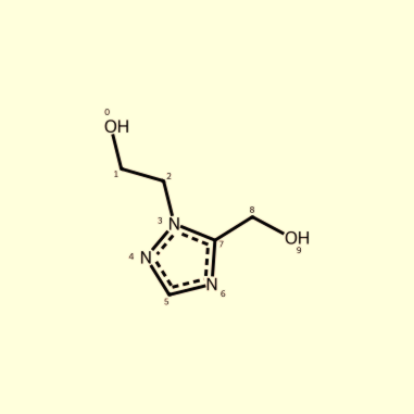 OCCn1ncnc1CO